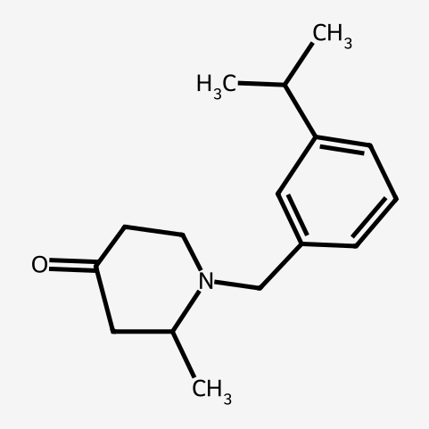 CC(C)c1cccc(CN2CCC(=O)CC2C)c1